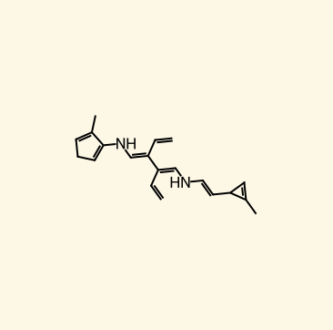 C=CC(=C\N/C=C/C1C=C1C)/C(C=C)=C/NC1=CCC=C1C